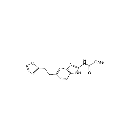 COC(=O)Nc1nc2cc(CCc3ccco3)ccc2[nH]1